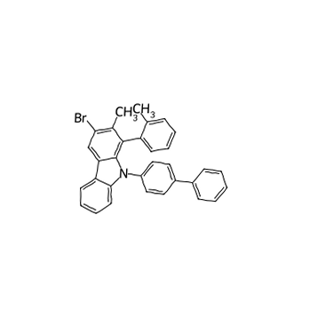 Cc1ccccc1-c1c(C)c(Br)cc2c3ccccc3n(-c3ccc(-c4ccccc4)cc3)c12